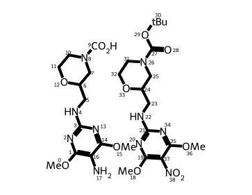 COc1nc(NCC2CN(C(=O)O)CCO2)nc(OC)c1N.COc1nc(NCC2CN(C(=O)OC(C)(C)C)CCO2)nc(OC)c1[N+](=O)[O-]